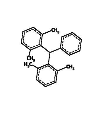 Cc1cccc(C)c1C(c1ccccc1)c1c(C)cccc1C